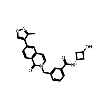 Cc1nocc1-c1ccc2c(=O)n(Cc3cccc(C(=O)N[C@H]4C[C@H](O)C4)c3)ccc2c1